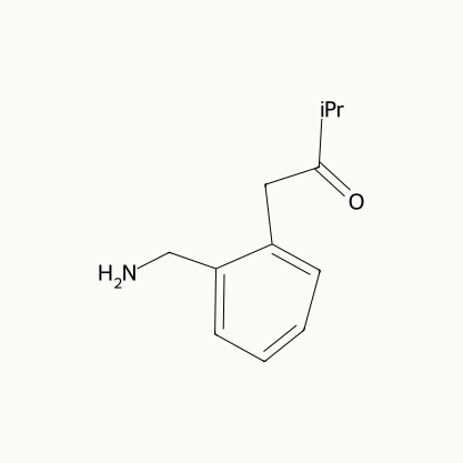 CC(C)C(=O)Cc1ccccc1CN